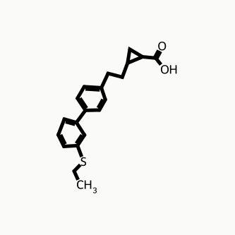 CCSc1cccc(-c2ccc(CCC3CC3C(=O)O)cc2)c1